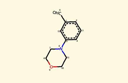 O=Cc1cccc(N2CCOCC2)c1